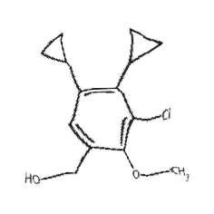 COc1c(CO)cc(C2CC2)c(C2CC2)c1Cl